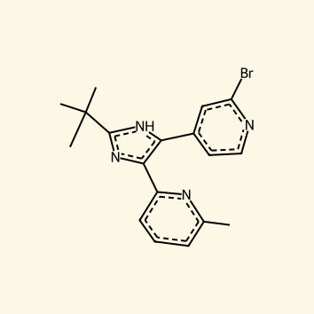 Cc1cccc(-c2nc(C(C)(C)C)[nH]c2-c2ccnc(Br)c2)n1